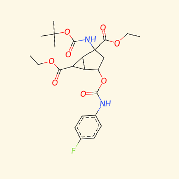 CCOC(=O)C1C2C(OC(=O)Nc3ccc(F)cc3)CC(NC(=O)OC(C)(C)C)(C(=O)OCC)C12